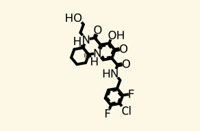 O=C(NCc1ccc(F)c(Cl)c1F)c1cn2c(c(O)c1=O)C(=O)N(CCO)[C@H]1CCCC[C@H]12